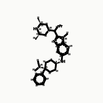 CCCC(c1nc2cc(N[C@H]3CC[C@@](c4ccccc4)(N(C)C)CC3)cnc2n1C)N1C[C@@H](C)N[C@@H](C)C1